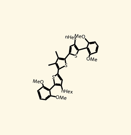 CCCCCCc1cc(-c2sc(-c3cc(CCCCCC)c(-c4c(OC)cccc4OC)s3)c(C)c2C)sc1-c1c(OC)cccc1OC